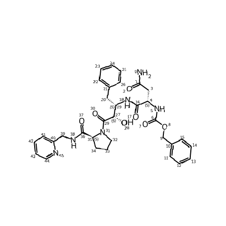 NC(=O)C[C@H](NC(=O)OCc1ccccc1)C(=O)N[C@@H](Cc1ccccc1)[C@H](O)C(=O)N1CCC[C@H]1C(=O)NCc1ccccn1